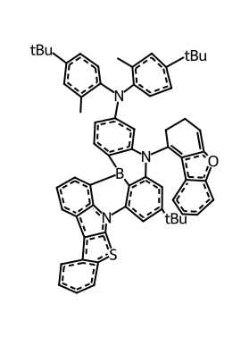 Cc1cc(C(C)(C)C)ccc1N(c1ccc2c(c1)N(C1=c3c(oc4ccccc34)=CCC1)c1cc(C(C)(C)C)cc3c1B2c1cccc2c4c5ccccc5sc4n-3c12)c1ccc(C(C)(C)C)cc1C